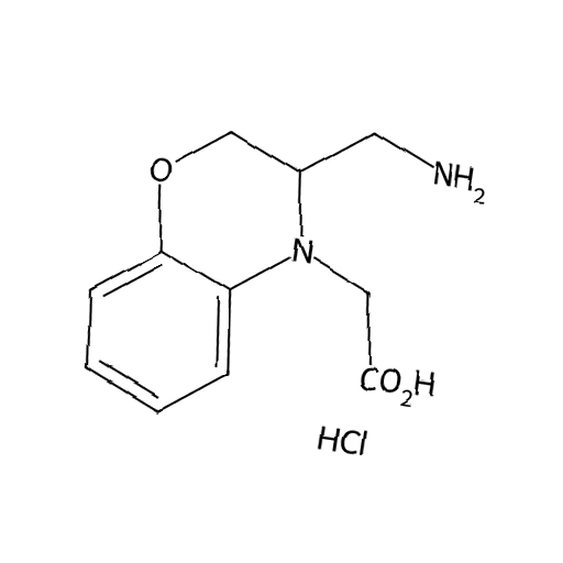 Cl.NCC1COc2ccccc2N1CC(=O)O